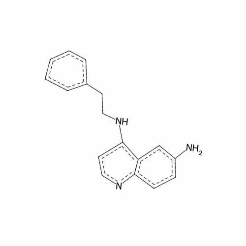 Nc1ccc2nccc(NCCc3ccccc3)c2c1